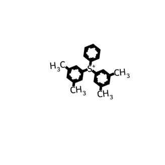 Cc1cc(C)cc([S+](c2ccccc2)c2cc(C)cc(C)c2)c1